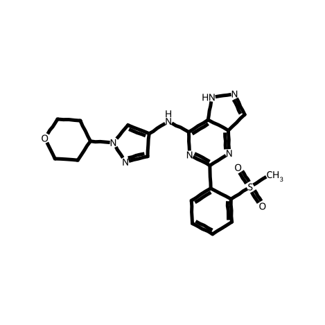 CS(=O)(=O)c1ccccc1-c1nc(Nc2cnn(C3CCOCC3)c2)c2[nH]ncc2n1